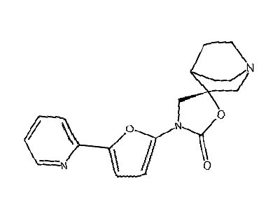 O=C1O[C@]2(CN3CCC2CC3)CN1c1ccc(-c2ccccn2)o1